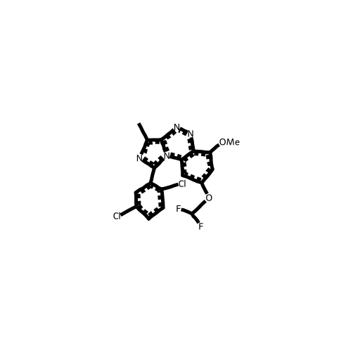 COc1cc(OC(F)F)cc2c1nnc1c(C)nc(-c3cc(Cl)ccc3Cl)n12